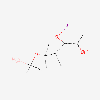 BC(C)(C)OC(C)(C)C(C)C(OI)C(C)O